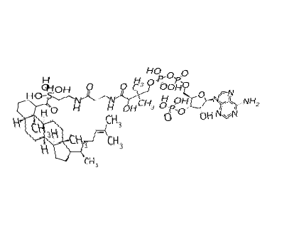 CC(C)=CCC[C@@H](C)[C@H]1CC[C@H]2[C@@H]3CC[C@@H]4CCCC(C(=O)[SH](O)(O)(O)CCNC(=O)CCNC(=O)C(O)C(C)(C)COP(=O)(O)OP(=O)(O)OC[C@H]5O[C@@H](n6cnc7c(N)ncnc76)[C@H](O)[C@@H]5OP(=O)(O)O)[C@]4(C)[C@H]3CC[C@]12C